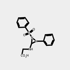 O=C(O)CNC1N(c2ccccc2)N1S(=O)(=O)c1ccccc1